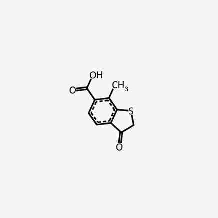 Cc1c(C(=O)O)ccc2c1SCC2=O